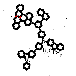 CC1(C)c2ccccc2-c2ccc(N(c3ccc(-c4cc(-c5cccc6ccccc56)cc(-c5ccc(-c6cccc7ccccc67)c6c(-c7cccc8ccccc78)cccc56)c4)cc3)c3ccc(-c4ccc5c(c4)c4ccccc4n5-c4ccccc4)cc3)cc21